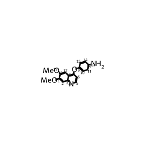 COc1cc2nccc(OC3=CC[C@H](N)C=C3)c2cc1OC